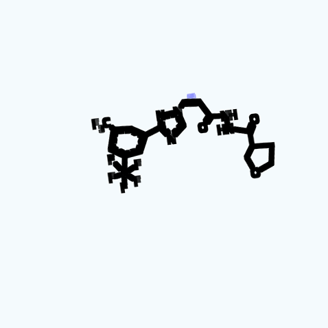 O=C(/C=C\n1cnc(-c2cc(C(F)(F)F)cc(S(F)(F)(F)(F)F)c2)n1)NNC(=O)C1CCOC1